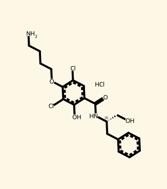 Cl.NCCCCOc1c(Cl)cc(C(=O)N[C@H](CO)Cc2ccccc2)c(O)c1Cl